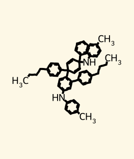 CCCCc1ccc(-c2cc(Nc3ccc(C)cc3)ccc2C2(c3ccc(CCCC)cc3)C=CC(Nc3ccc(C)cc3)(c3ccccc3)C=C2)cc1